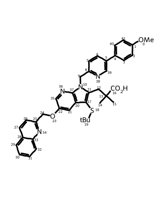 COc1ccc(-c2ccc(Cn3c(CC(C)(C)C(=O)O)c(SC(C)(C)C)c4cc(OCc5ccc6ccccc6n5)cnc43)nc2)cc1